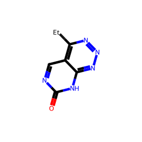 CCc1nnnc2[nH]c(=O)ncc12